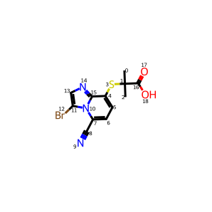 CC(C)(Sc1ccc(C#N)n2c(Br)cnc12)C(=O)O